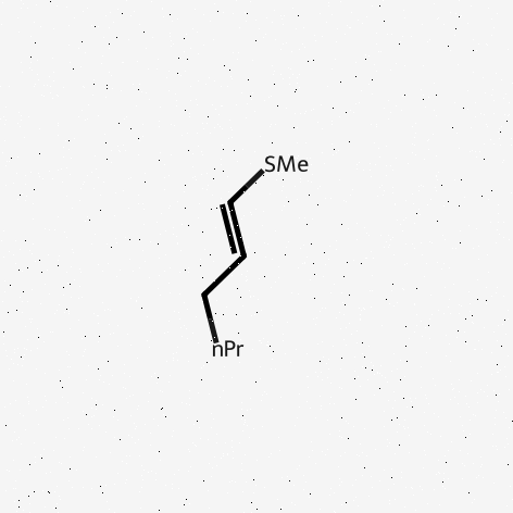 [CH2]CCCC=CSC